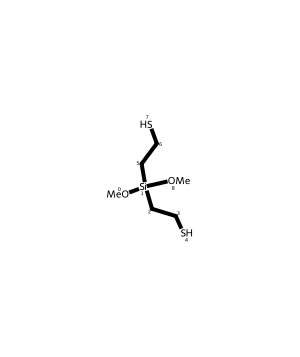 CO[Si](CCS)(CCS)OC